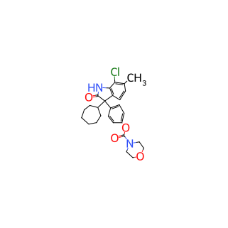 Cc1ccc2c(c1Cl)NC(=O)C2(c1ccc(OC(=O)N2CCOCC2)cc1)C1CCCCCC1